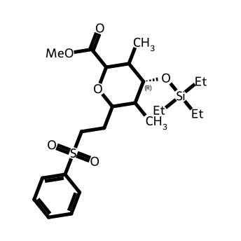 CC[Si](CC)(CC)O[C@@H]1C(C)C(CCS(=O)(=O)c2ccccc2)OC(C(=O)OC)C1C